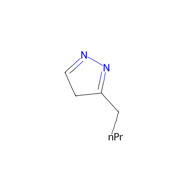 CCCCC1=NN=CC1